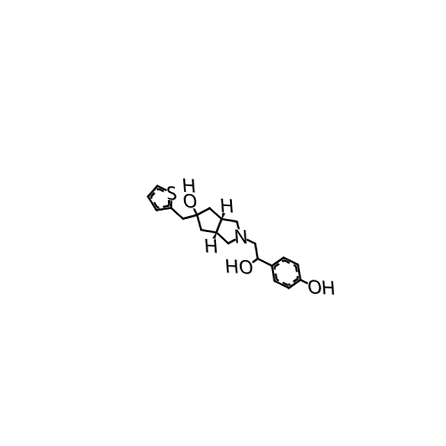 Oc1ccc(C(O)CN2C[C@@H]3CC(O)(Cc4cccs4)C[C@@H]3C2)cc1